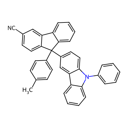 Cc1ccc(C2(c3ccc4c(c3)c3ccccc3n4-c3ccccc3)c3ccccc3-c3cc(C#N)ccc32)cc1